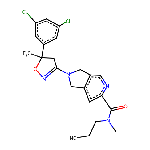 CN(CCC#N)C(=O)c1cc2c(cn1)CN(C1=NOC(c3cc(Cl)cc(Cl)c3)(C(F)(F)F)C1)C2